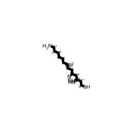 Br.N=NC(CCCCCCCCCN)CC(=N)CCS